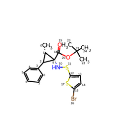 C[C@H]1C(c2ccccc2)[C@]1(NSc1ccc(Br)s1)C(=O)OC(C)(C)C